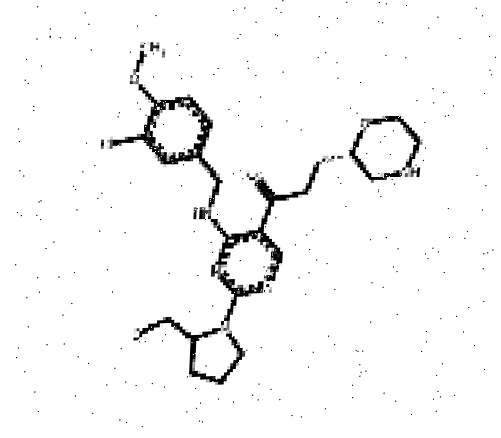 COc1ccc(CNc2nc(N3CCCC3CO)ncc2C(=O)CC[C@H]2CNCCO2)cc1Cl